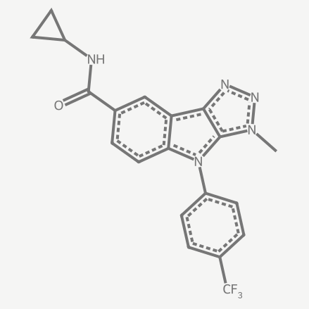 Cn1nnc2c3cc(C(=O)NC4CC4)ccc3n(-c3ccc(C(F)(F)F)cc3)c21